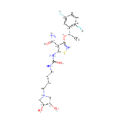 CC(Oc1nsc(NC(=O)NCCCCN2CC(O)C(O)C2)c1C(N)=O)c1cc(F)ccc1F